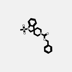 CS(=O)(=O)N1CC2(CCN(C(=O)OCc3ccccc3)CC2)c2ccccc21